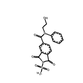 CS(=O)(=O)N1C(=O)c2ccc(C(=O)N(CCO)c3ccccc3)cc2C1=O